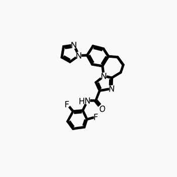 O=C(Nc1c(F)cccc1F)c1cn2c(n1)CCCc1ccc(-n3cccn3)cc1-2